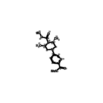 CNC(=O)c1ccc(N2C[C@@H](C)N(C(=O)OC(C)(C)C)[C@H](C)C2)cn1